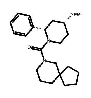 CN[C@@H]1CCN(C(=O)N2CCCC3(CCCC3)C2)[C@H](c2ccccc2)C1